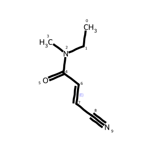 CCN(C)C(=O)/C=C/C#N